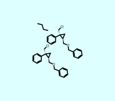 CCCC.ClC[C@]1(c2ccccc2)C[C@H]1COCc1ccccc1.ClC[C@]1(c2ccccc2)C[C@H]1COCc1ccccc1